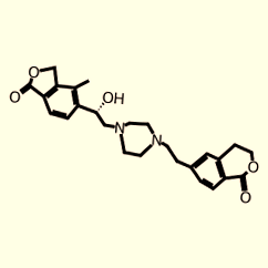 Cc1c([C@H](O)CN2CCN(CCc3ccc4c(c3)CCOC4=O)CC2)ccc2c1COC2=O